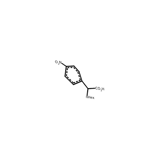 CCCCCCC(C(=O)O)c1ccc([N+](=O)[O-])cc1